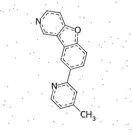 Cc1ccnc(-c2ccc3oc4ccncc4c3c2)c1